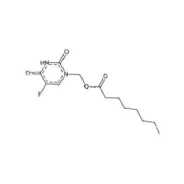 CCCCCCCC(=O)OCn1cc(F)c(=O)[nH]c1=O